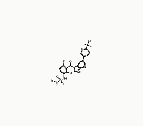 CCN(C)S(=O)(=O)Nc1ccc(F)c(C(=O)c2c[nH]c3ncc(-c4ccc(C(C)(C)O)nc4)cc23)c1F